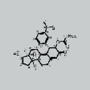 CCCCCCC(=O)OC1CC2=C3[C@@H](CCC2=CC1=O)[C@@H]1CC[C@H](C(C)=O)[C@@]1(C)C[C@@H]3c1ccc(N(C)C)cc1